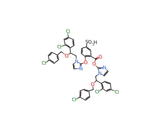 O=C(Oc1nccn1CC(OCc1ccc(Cl)cc1)c1ccc(Cl)cc1Cl)c1cc(S(=O)(=O)O)ccc1Oc1nccn1CC(OCc1ccc(Cl)cc1)c1ccc(Cl)cc1Cl